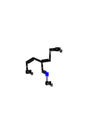 C=C/C=C(C=NC)\C=C/C